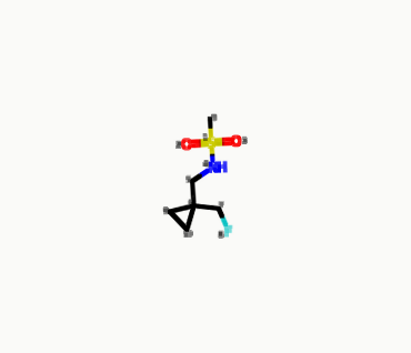 CS(=O)(=O)NCC1(CF)CC1